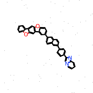 c1ccc2c(c1)oc1cc3c(cc12)oc1ccc(-c2ccc4cc(-c5ccc(-c6cn7ccccc7n6)cc5)ccc4c2)cc13